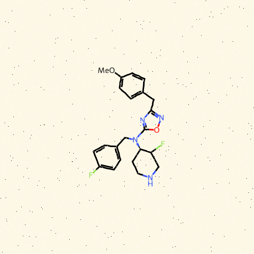 COc1ccc(Cc2noc(N(Cc3ccc(F)cc3)[C@@H]3CCNCC3F)n2)cc1